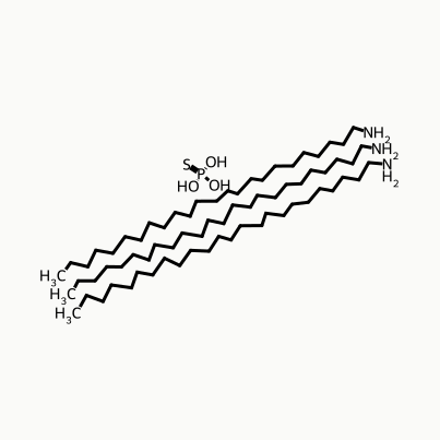 CCCCCCCCCCCCCCCCCCCCCCCCN.CCCCCCCCCCCCCCCCCCCCCCCCN.CCCCCCCCCCCCCCCCCCCCCCCCN.OP(O)(O)=S